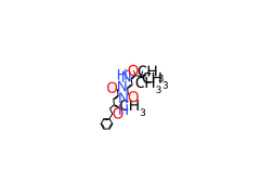 CC1=C(/C=c2\[nH]c(=O)/c(=C/c3ncoc3C(C)(C)C)[nH]c2=O)CC(c2ccccc2)O1